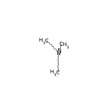 CCCCCCCCCCCCCN1C=CN(CCCCC)C1CCCCCCCCCC